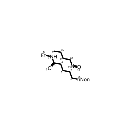 CCCCCCCCCCCCCC(=O)NCC.CCCCN=O